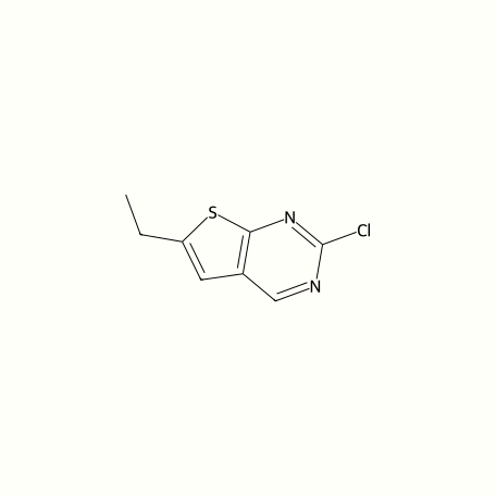 CCc1cc2cnc(Cl)nc2s1